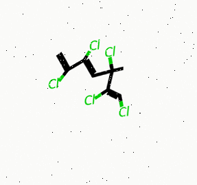 C=C(Cl)C(Cl)=CC(C)(Cl)C(Cl)=CCl